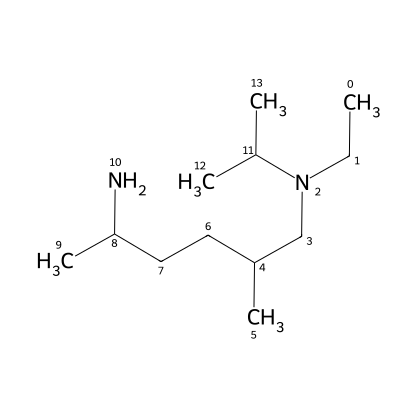 CCN(CC(C)CCC(C)N)C(C)C